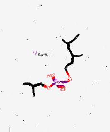 CC(C)COP(=O)(O)OCCC(C)CC(C)C.P.[NaH]